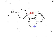 CCC1CCC(O)(c2ccnc3ccccc23)CC1